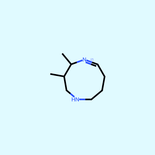 CC1CNCCC/C=N\C1C